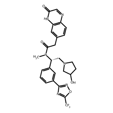 CN(C(=O)Cc1ccc2ncc(=O)[nH]c2c1)[C@H](CN1CCC(O)C1)c1cccc(-c2noc(C(F)(F)F)n2)c1